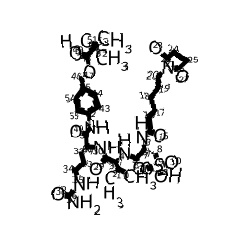 CC(C)[C@@H](NC(=O)[C@@H](CS(=O)(=O)O)NC(=O)CCCCCN1C(=O)C=CC1=O)C(=O)N[C@H](CCCNC(N)=O)C(=O)Nc1ccc(COC(=O)C(C)(C)C)cc1